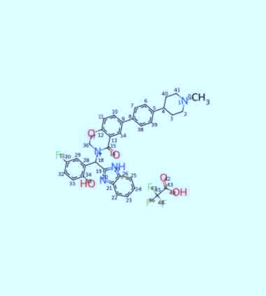 CN1CCC(c2ccc(-c3ccc4c(c3)C(=O)N(C(c3nc5ccccc5[nH]3)c3cc(F)ccc3O)CO4)cc2)CC1.O=C(O)C(F)(F)F